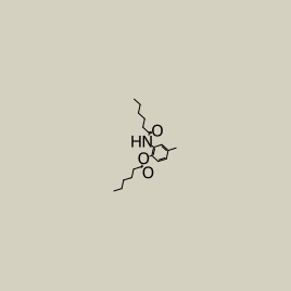 CCCCCC(=O)Nc1cc(C)ccc1OC(=O)CCCCC